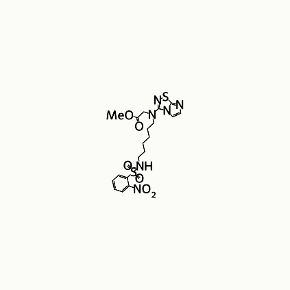 COC(=O)CN(CCCCCCNS(=O)(=O)c1ccccc1[N+](=O)[O-])c1nsc2nccn12